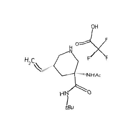 C=C[C@@H]1CNC[C@@](NC(C)=O)(C(=O)NC(C)(C)C)C1.O=C(O)C(F)(F)F